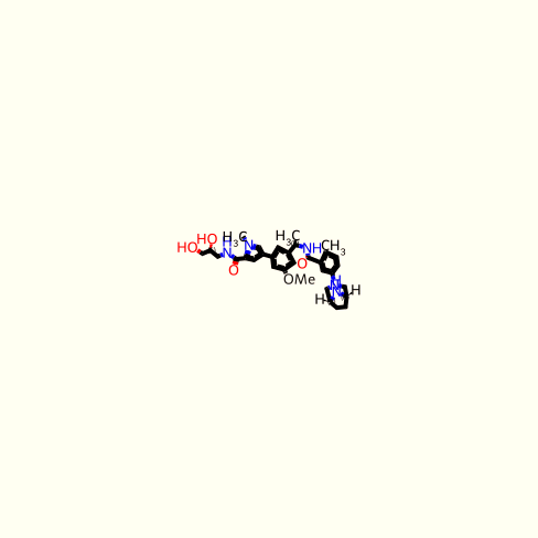 COc1cc(-c2cc(C(=O)NC[C@H](O)CO)n(C)c2)cc([C@@H](C)NC(=O)c2cc(N3C[C@H]4CC[C@@H](C3)N4)ccc2C)c1